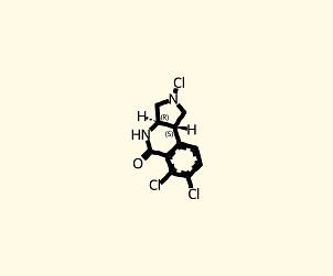 O=C1N[C@H]2CN(Cl)C[C@@H]2c2ccc(Cl)c(Cl)c21